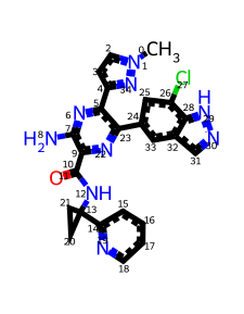 Cn1ccc(-c2nc(N)c(C(=O)NC3(c4ccccn4)CC3)nc2-c2cc(Cl)c3[nH]ncc3c2)n1